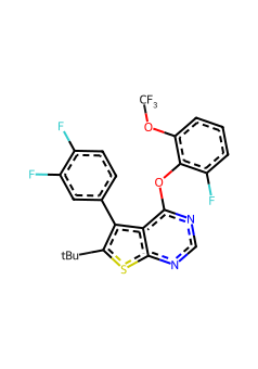 CC(C)(C)c1sc2ncnc(Oc3c(F)cccc3OC(F)(F)F)c2c1-c1ccc(F)c(F)c1